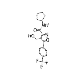 O=C(NC1CCCC1)c1noc(-c2ccc(C(F)(F)F)cc2)c1CO